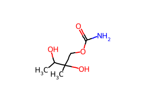 CC(O)C(C)(O)COC(N)=O